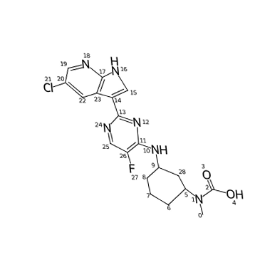 CN(C(=O)O)C1CCCC(Nc2nc(-c3c[nH]c4ncc(Cl)cc34)ncc2F)C1